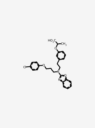 CC(Oc1cccc(CCN(CCCOc2ccc(Cl)cc2)c2nc3ccccc3o2)c1)C(=O)O